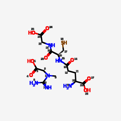 CN(CC(=O)O)C(=N)N.N[C@@H](CCC(=O)N[C@@H](CS)C(=O)NCC(=O)O)C(=O)O